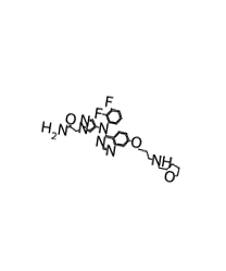 NC(=O)Cn1cc(N(c2cccc(F)c2F)c2ncnc3cc(OCCCNCC4CCCO4)ccc23)cn1